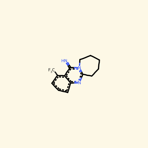 N=c1c2c(C(F)(F)F)cccc2nc2n1CCCCC2